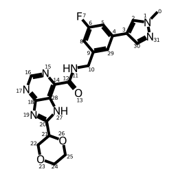 Cn1cc(-c2cc(F)cc(CNC(=O)c3ncnc4nc(C5COCCO5)[nH]c34)c2)cn1